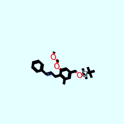 COCOc1cc(CO[Si](C)(C)C(C)(C)C)cc(C)c1C/C=C/c1ccccc1